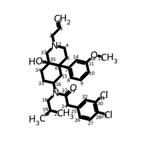 C=CCN1CCC2(c3cccc(OC)c3)CC(N(CC(C)C)C(=O)Cc3ccc(Cl)c(Cl)c3)CCC2(O)C1